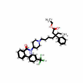 CCOC(=O)CC(CC)(CCCCN1CCC(NC(=O)c2ccccc2-c2ccc(C(F)(F)F)cc2)CC1)c1ccccc1